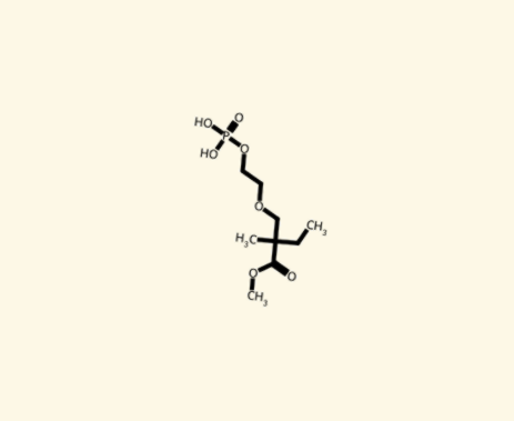 CCC(C)(COCCOP(=O)(O)O)C(=O)OC